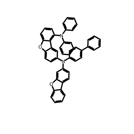 c1ccc(-c2ccc(N(c3ccc4c(c3)oc3ccccc34)c3ccc4oc5cccc(N(c6ccccc6)c6ccccc6)c5c4c3)cc2)cc1